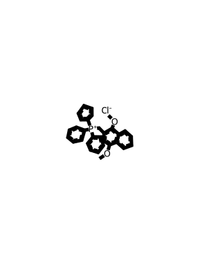 COc1cc(C[P+](c2ccccc2)(c2ccccc2)c2ccccc2)c(OC)c2ccccc12.[Cl-]